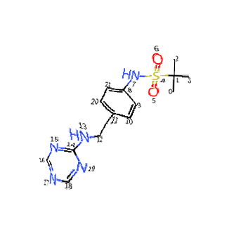 CC(C)(C)S(=O)(=O)Nc1ccc(CNc2ncncn2)cc1